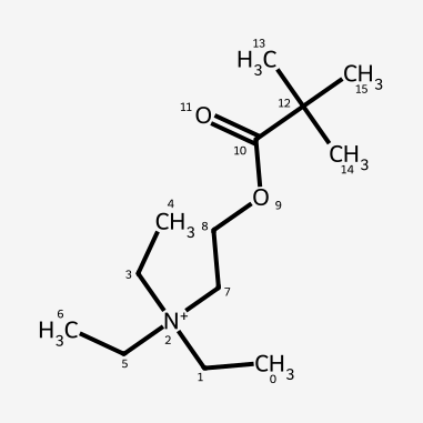 CC[N+](CC)(CC)CCOC(=O)C(C)(C)C